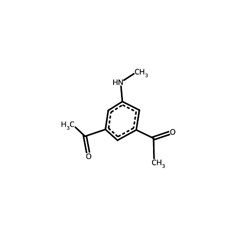 CNc1cc(C(C)=O)cc(C(C)=O)c1